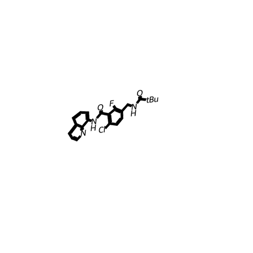 CC(C)(C)C(=O)NCc1ccc(Cl)c(C(=O)Nc2cccc3cccnc23)c1F